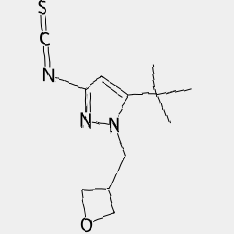 CC(C)(C)c1cc(N=C=S)nn1CC1COC1